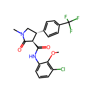 COc1c(Cl)cccc1NC(=O)[C@H]1C(=O)N(C)C[C@@H]1c1ccc(C(F)(F)F)cc1